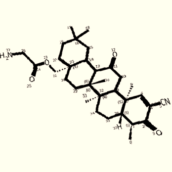 C[C@@H]1C(=O)C(C#N)=C[C@]2(C)C3CC(=O)C4C5CC(C)(C)CC[C@]5(COC(=O)CN)CC[C@@]4(C)[C@]3(C)CC[C@@H]12